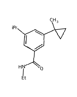 CCNC(=O)c1cc(C(C)C)cc(C2(C)CC2)c1